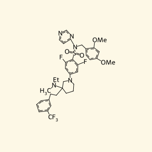 CCN(C)C1(CCc2cccc(C(F)(F)F)c2)CCCN(c2cc(F)c(S(=O)(=O)N(Cc3ccc(OC)cc3OC)c3ccncn3)c(F)c2)C1